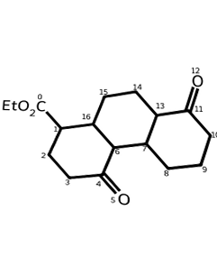 CCOC(=O)C1CCC(=O)C2C3CCCC(=O)C3CCC12